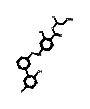 CCC(COC)OC(=O)c1ccc(NSc2cccc(-c3cc(F)ccc3O)c2)cc1O